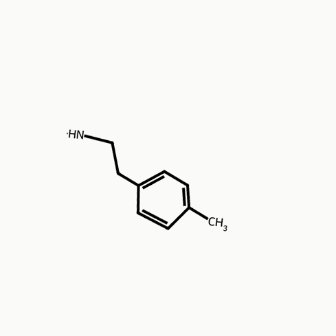 Cc1ccc(CC[NH])cc1